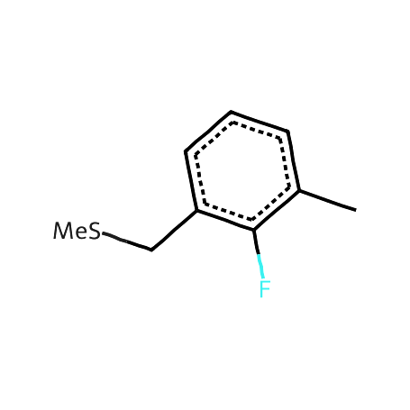 CSCc1cccc(C)c1F